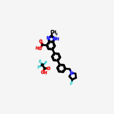 Cc1nc2c(C(=O)O)cc(-c3ccc(-c4cccc(CN5CCC(F)C5)c4)cc3)cc2[nH]1.O=C(O)C(F)(F)F